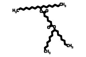 CCCCCCCCC(CCCCCCC)OC(=O)CCCCC(=O)OC(CCCCCCC)CCCCCCCC